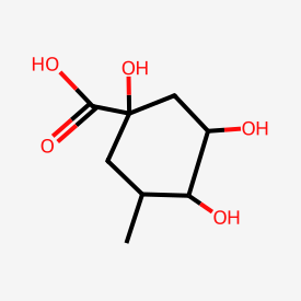 CC1CC(O)(C(=O)O)CC(O)C1O